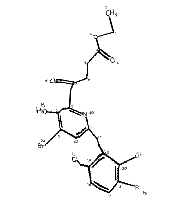 CCOC(=O)CCC(=O)c1nc(Cc2c(Cl)ccc(F)c2Cl)cc(Br)c1O